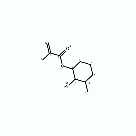 C=C(C)C(=O)OC1CCCC(C)C1C(C)C